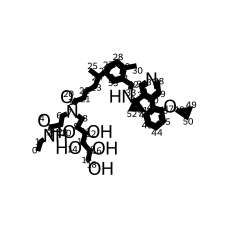 CCNC(=O)CCN(C[C@H](O)[C@@H](O)[C@H](O)[C@H](O)CO)C(=O)CCCC(C)c1ccc(C)c(CNC2(c3cnccc3-c3ccccc3OC3CC3)CC2)c1